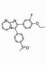 CCOc1ccc(-c2nc3ncccn3c2-c2ccc([S+](C)[O-])cc2)cc1F